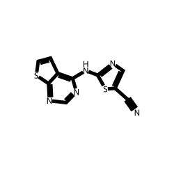 N#Cc1cnc(Nc2ncnc3sccc23)s1